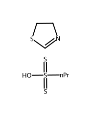 C1=NCCS1.CCCS(O)(=S)=S